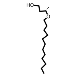 CCCCCCCCCCCCO[C@@H](C)CCO